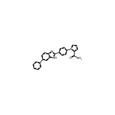 NC(=O)c1cccn1-c1ccc(-c2nc3ccc(-c4ccccc4)cc3[nH]2)cc1